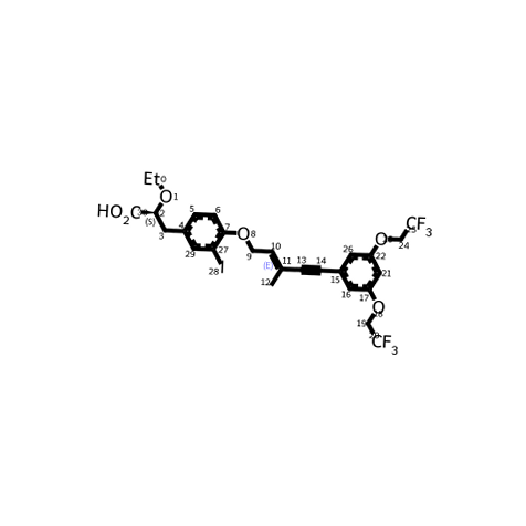 CCO[C@@H](Cc1ccc(OC/C=C(\C)C#Cc2cc(OCC(F)(F)F)cc(OCC(F)(F)F)c2)c(I)c1)C(=O)O